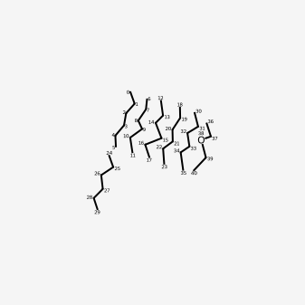 CCCCCC.CCCCCC.CCCCCC.CCCCCC.CCCCCC.CCCCCC.CCOCC